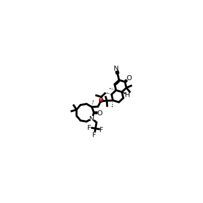 CC(=O)C[C@@H]1[C@@]2(C)C=C(C#N)C(=O)C(C)(C)[C@@H]2CC[C@@]1(C)C(C)(C)CC[C@]1(C)CCC(C)(C)CCCN(CC(F)(F)F)C1=O